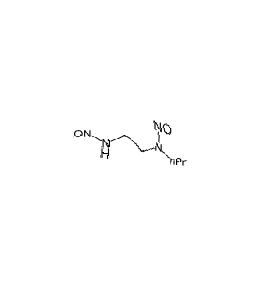 CCCN(CCNN=O)N=O